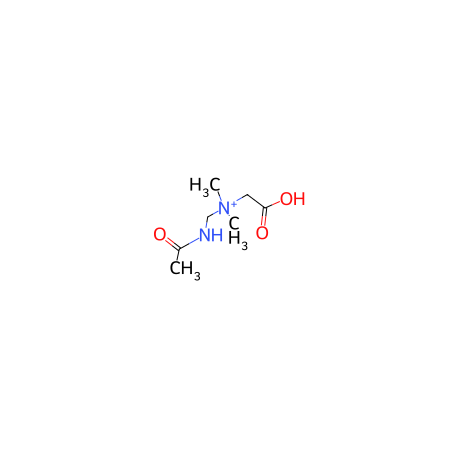 CC(=O)NC[N+](C)(C)CC(=O)O